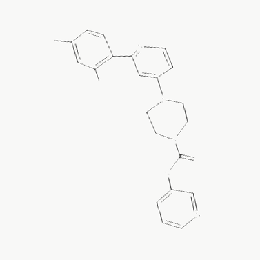 O=C(Nc1cccnc1)N1CCN(c2ccnc(-c3ccc(F)cc3F)c2)CC1